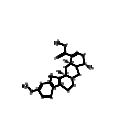 COC(=O)C1=CO[C@H](C)C2CN3CCc4c([nH]c5cc(OC)ccc45)[C@H]3C[C@@H]12